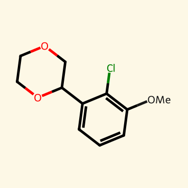 COc1cccc(C2COCCO2)c1Cl